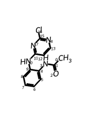 CC(=O)Nc1ccccc1Nc1ccnc(Cl)n1